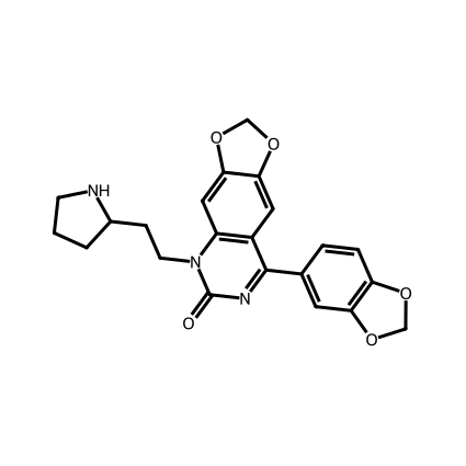 O=c1nc(-c2ccc3c(c2)OCO3)c2cc3c(cc2n1CCC1CCCN1)OCO3